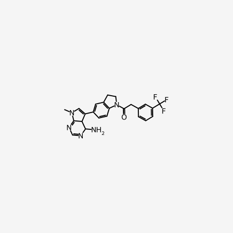 CN1C=C(c2ccc3c(c2)CCN3C(=O)Cc2cccc(C(F)(F)F)c2)C2C1=NC=NC2N